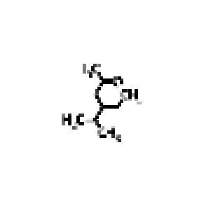 C=C(C)C(CC)CC(C)=O